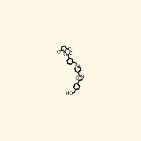 O=C(ON1C(=O)CCC1=O)c1cccc(C[n+]2ccc(-c3ncc(-c4ccc(CO)cc4)o3)cc2)c1